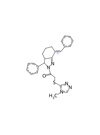 Cn1cnnc1SCC(=O)N1N=C2/C(=C/c3ccccc3)CCCC2C1c1ccccc1